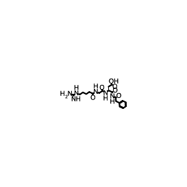 N=C(N)NCCCCC(=O)NCC(=O)N[C@@H](CC(=O)O)C(=O)NC(=O)Cc1ccccc1